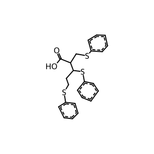 O=C(O)C(CSc1ccccc1)C(CCSc1ccccc1)Sc1ccccc1